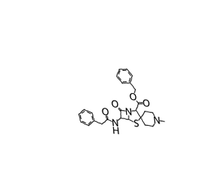 CN1CCC2(CC1)SC1C(NC(=O)Cc3ccccc3)C(=O)N1C2C(=O)OCc1ccccc1